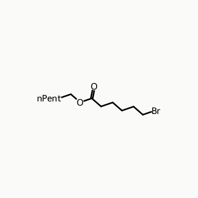 CCCCCCOC(=O)CCCCCBr